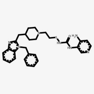 Nc1ccncc1NC(=O)NSCCN1CCC(Cc2nc3ccccc3n2Cc2ccccc2)CC1